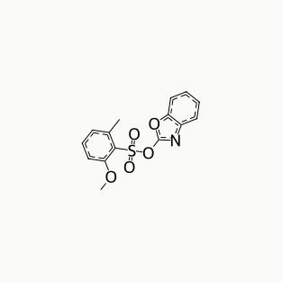 COc1cccc(C)c1S(=O)(=O)Oc1nc2ccccc2o1